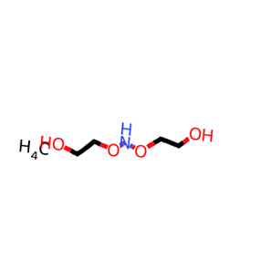 C.OCCONOCCO